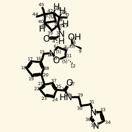 C[C@@H]1[C@@H](NC(=O)[C@@H]2[C@H]([C@H](C)O)[C@H](C)ON2Cc2cccc(-c3cccc(C(=O)NCCCn4ccnc4)c3)c2)C[C@H]2C[C@@H]1C2(C)C